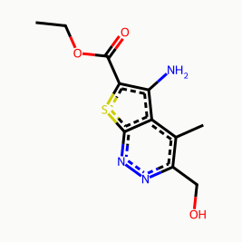 CCOC(=O)c1sc2nnc(CO)c(C)c2c1N